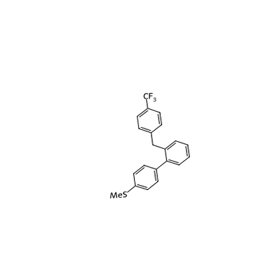 CSc1ccc(-c2ccccc2Cc2ccc(C(F)(F)F)cc2)cc1